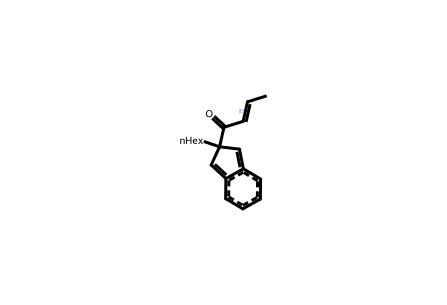 C/C=C/C(=O)C1(CCCCCC)C=c2ccccc2=C1